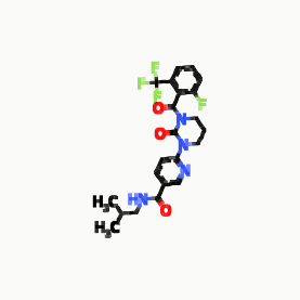 CC(C)CNC(=O)c1ccc(N2CCCN(C(=O)c3c(F)cccc3C(F)(F)F)C2=O)nc1